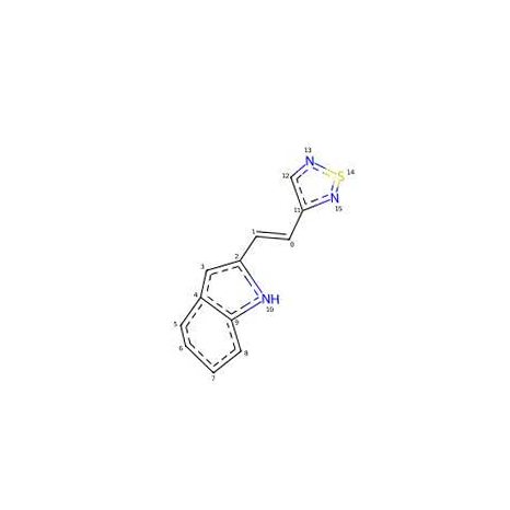 C(=Cc1cc2ccccc2[nH]1)c1cnsn1